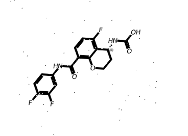 O=C(O)N[C@@H]1CCOc2c(C(=O)Nc3ccc(F)c(F)c3)ccc(F)c21